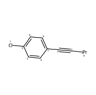 CC(C)C#Cc1ccc(Cl)cc1